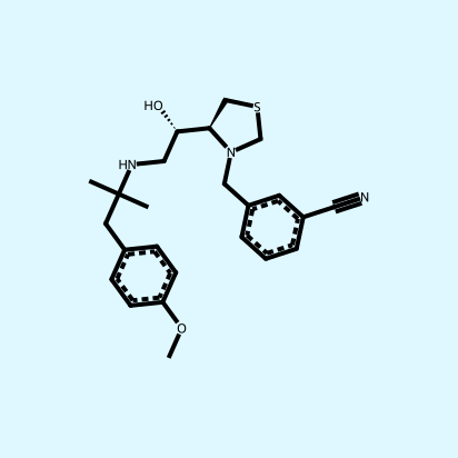 COc1ccc(CC(C)(C)NC[C@H](O)[C@H]2CSCN2Cc2cccc(C#N)c2)cc1